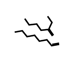 C=C(CC)CCCC.C=CCCCCCC